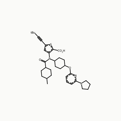 CC1CCC(C(=O)N(c2cc(C#CC(C)(C)C)sc2C(=O)O)C2CCC(Oc3cccc(N4CCCC4)n3)CC2)CC1